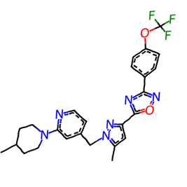 Cc1cc(-c2nc(-c3ccc(OC(F)(F)F)cc3)no2)nn1Cc1ccnc(N2CCC(C)CC2)c1